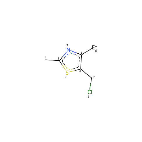 CCc1nc(C)sc1CCl